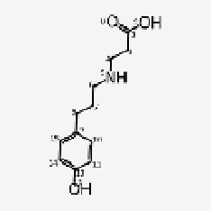 O=C(O)CCNCCCc1ccc(O)cc1